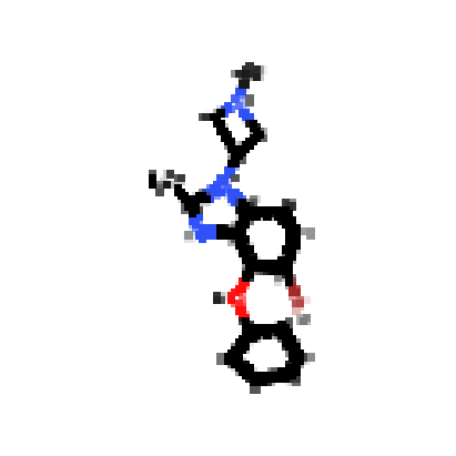 CC(=O)N1CC(n2c(C)nc3c(Oc4ccccc4)c(Br)ccc32)C1